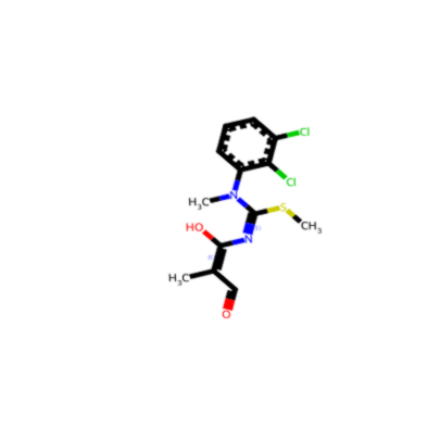 CS/C(=N/C(O)=C(/C)C=O)N(C)c1cccc(Cl)c1Cl